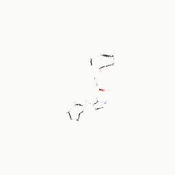 O=C(COc1ccccc1)Oc1[nH]ccc1Cc1ccccc1